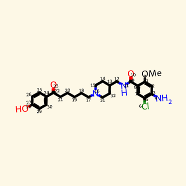 COc1cc(N)c(Cl)cc1C(=O)NCC1CCN(CCCCCC(=O)c2ccc(O)cc2)CC1